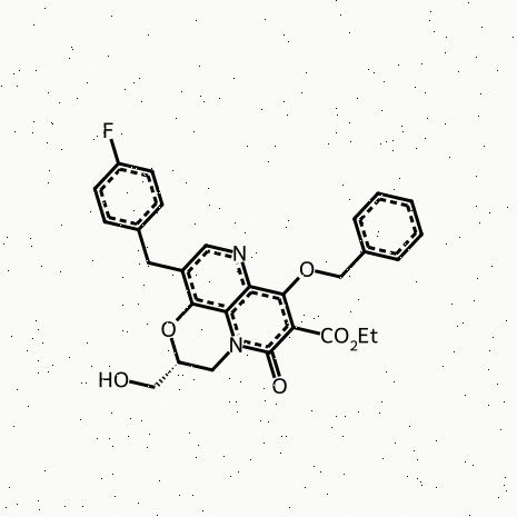 CCOC(=O)c1c(OCc2ccccc2)c2ncc(Cc3ccc(F)cc3)c3c2n(c1=O)C[C@H](CO)O3